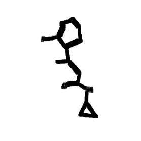 CC(=CC(=O)NC1CC1)c1ccccc1I